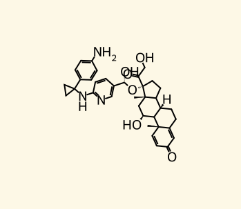 C[C@]12C=CC(=O)C=C1CC[C@@H]1C2[C@@H](O)C[C@@]2(C)C1CC[C@]2(O[C@@H](O)c1ccc(NC2(c3ccc(N)cc3)CC2)nc1)C(=O)CO